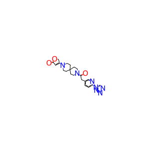 O=C1C=C(N2CCC3(CCN(C(=O)Cc4ccc(-n5cnnn5)nc4)CC3)CC2)CO1